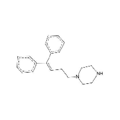 C(CCN1CCNCC1)=C(c1ccccc1)c1ccccc1